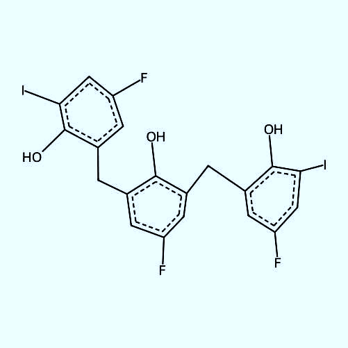 Oc1c(I)cc(F)cc1Cc1cc(F)cc(Cc2cc(F)cc(I)c2O)c1O